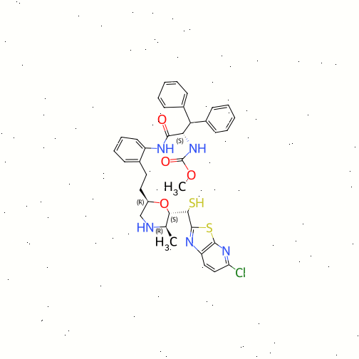 COC(=O)N[C@H](C(=O)Nc1ccccc1CC[C@@H]1CN[C@H](C)[C@@H](C(S)c2nc3ccc(Cl)nc3s2)O1)C(c1ccccc1)c1ccccc1